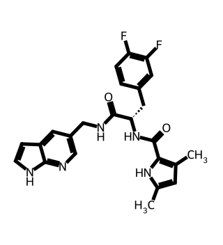 Cc1cc(C)c(C(=O)N[C@@H](Cc2ccc(F)c(F)c2)C(=O)NCc2cnc3[nH]ccc3c2)[nH]1